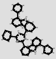 c1ccc(-c2nc(-c3cccc4oc5c(-c6ccccc6)cccc5c34)nc(-c3cccc4oc5c(-c6ccccc6)cccc5c34)n2)cc1